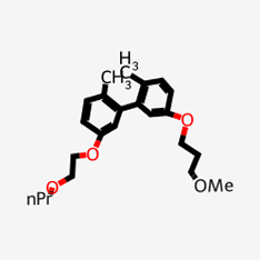 CCCOCCOc1ccc(C)c(-c2cc(OCCCOC)ccc2C)c1